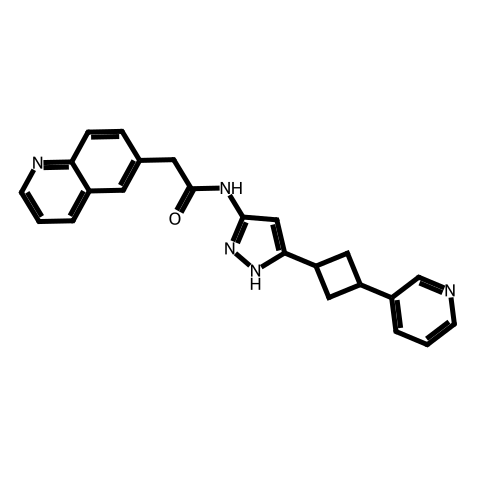 O=C(Cc1ccc2ncccc2c1)Nc1cc(C2CC(c3cccnc3)C2)[nH]n1